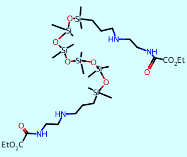 CCOC(=O)C(=O)NCCNCCC[Si](C)(C)O[Si](C)(C)O[Si](C)(C)O[Si](C)(C)O[Si](C)(C)O[Si](C)(C)CCCNCCNC(=O)C(=O)OCC